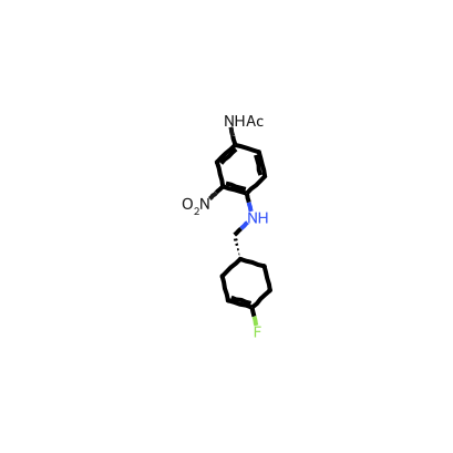 CC(=O)Nc1ccc(NC[C@H]2CC=C(F)CC2)c([N+](=O)[O-])c1